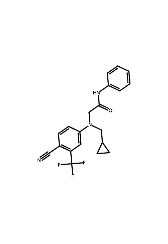 N#Cc1ccc(N(CC(=O)Nc2ccccc2)CC2CC2)cc1C(F)(F)F